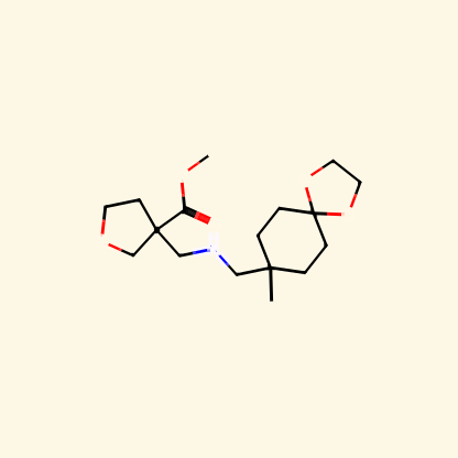 COC(=O)C1(CNCC2(C)CCC3(CC2)OCCO3)CCOC1